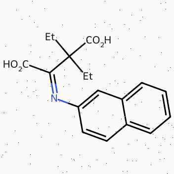 CCC(CC)(C(=O)O)C(=Nc1ccc2ccccc2c1)C(=O)O